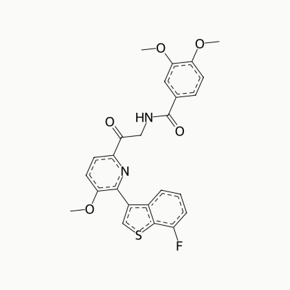 COc1ccc(C(=O)NCC(=O)c2ccc(OC)c(-c3csc4c(F)cccc34)n2)cc1OC